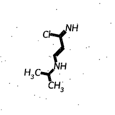 CC(C)N/C=C/C(=N)Cl